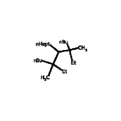 CCCCCCC[C](C(C)(CC)CCCC)C(C)(CC)CCCC